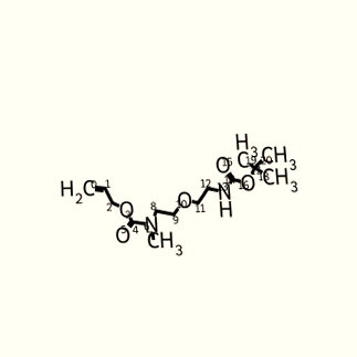 C=CCOC(=O)N(C)CCOCCNC(=O)OC(C)(C)C